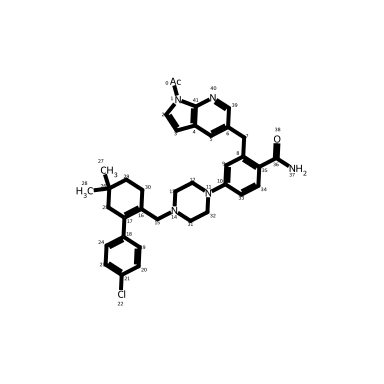 CC(=O)n1ccc2cc(Cc3cc(N4CCN(CC5=C(c6ccc(Cl)cc6)CC(C)(C)CC5)CC4)ccc3C(N)=O)cnc21